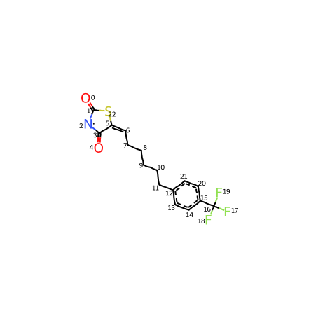 O=C1[N]C(=O)C(=CCCCCCc2ccc(C(F)(F)F)cc2)S1